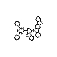 c1ccc(-c2nc(-c3ccccc3)nc(-c3ccc(-n4c5ccccc5c5cc6sc7ccccc7c6cc54)c4c3oc3ccccc34)n2)cc1